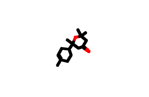 CC1=CCC(C2(C)CC(=O)CC(C)(C)O2)CC1